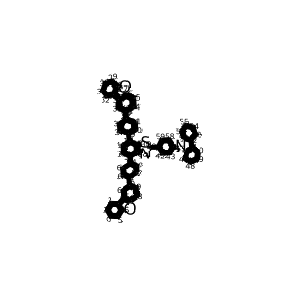 c1ccc2c(c1)oc1ccc(-c3ccc(-c4ccc(-c5ccc(-c6ccc7oc8ccccc8c7c6)cc5)c5sc(-c6ccc(-n7c8ccccc8c8ccccc87)cc6)nc45)cc3)cc12